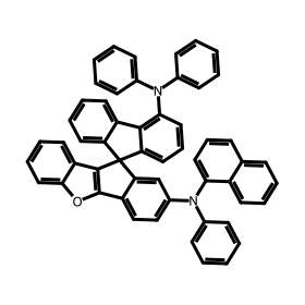 c1ccc(N(c2ccccc2)c2cccc3c2-c2ccccc2C32c3cc(N(c4ccccc4)c4cccc5ccccc45)ccc3-c3oc4ccccc4c32)cc1